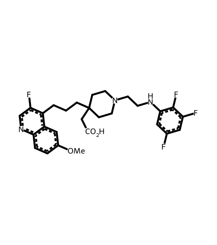 COc1ccc2ncc(F)c(CCCC3(CC(=O)O)CCN(CCNc4cc(F)cc(F)c4F)CC3)c2c1